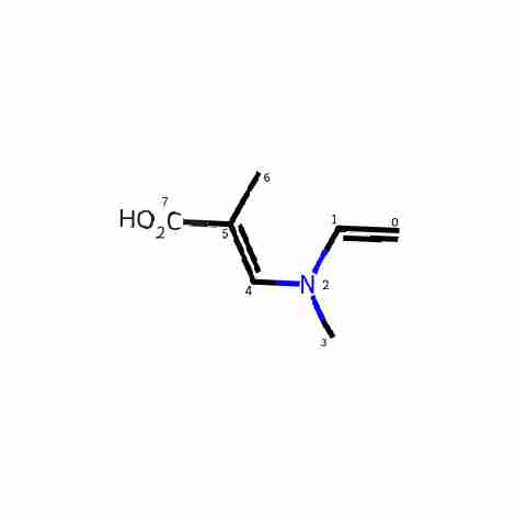 C=CN(C)/C=C(\C)C(=O)O